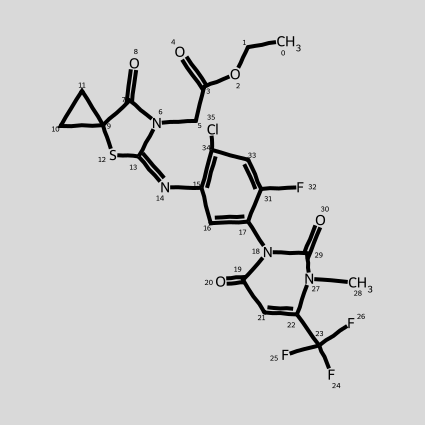 CCOC(=O)CN1C(=O)C2(CC2)S/C1=N/c1cc(-n2c(=O)cc(C(F)(F)F)n(C)c2=O)c(F)cc1Cl